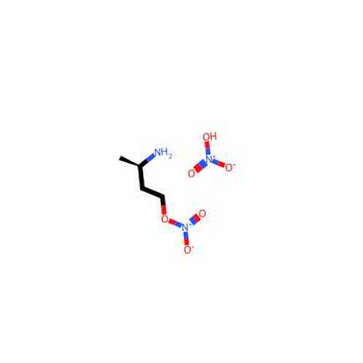 C[C@@H](N)CCO[N+](=O)[O-].O=[N+]([O-])O